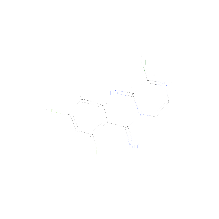 N=C(c1ccc(F)cc1F)n1ccnc(Cl)c1=N